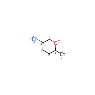 CCC1CCC(N)CO1